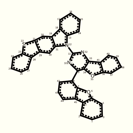 c1ccc2c(c1)oc1c(-c3nc(-n4c5ccccc5c5cc6sc7ccccc7c6cc54)nc4c3oc3ccccc34)cccc12